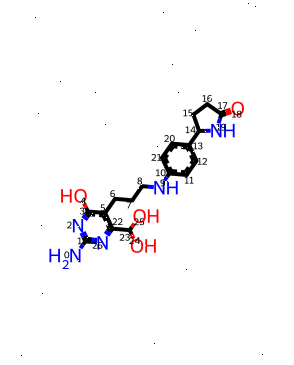 Nc1nc(O)c(CCCNc2ccc(C3CCC(=O)N3)cc2)c(C(O)O)n1